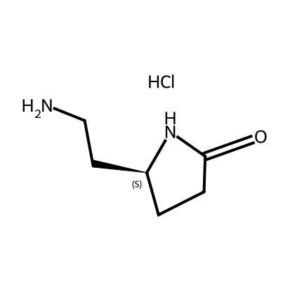 Cl.NCC[C@@H]1CCC(=O)N1